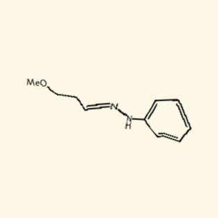 COCCC=NNc1ccccc1